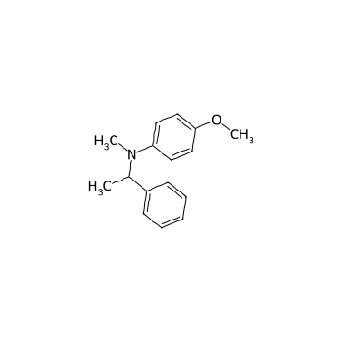 COc1ccc(N(C)C(C)c2ccccc2)cc1